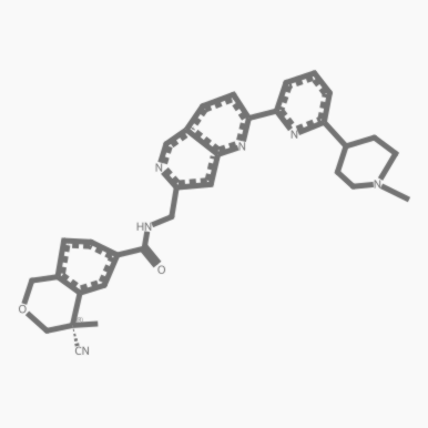 CN1CCC(c2cccc(-c3ccc4cnc(CNC(=O)c5ccc6c(c5)[C@](C)(C#N)COC6)cc4n3)n2)CC1